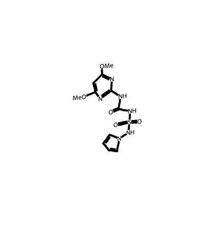 COc1cc(OC)nc(NC(=O)NS(=O)(=O)Nn2cccc2)n1